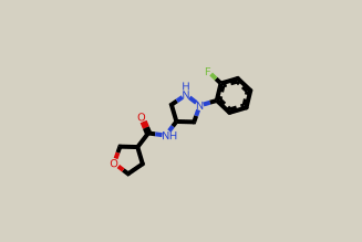 O=C(NC1CNN(c2ccccc2F)C1)C1CCOC1